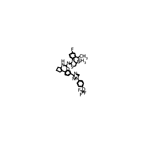 CC(C)c1cc(F)ccc1N1C(=O)CS/C1=N\C(=O)NC1=C(c2ccc(-c3ncn(-c4ccc(OC(F)(F)F)cc4)n3)cc2)CCC1